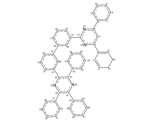 C1=CC(c2cc(-c3ccccc3)nc(-c3cccc(-c4cccc(-c5nc(-c6ccccc6)c(-c6ccccc6)nc5-c5ccccc5)c4)c3)n2)=CCC1